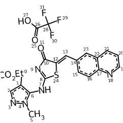 CCOC(=O)c1cnn(C)c1NC1=NC(=O)/C(=C/c2ccc3ncccc3c2)S1.O=C(O)C(F)(F)F